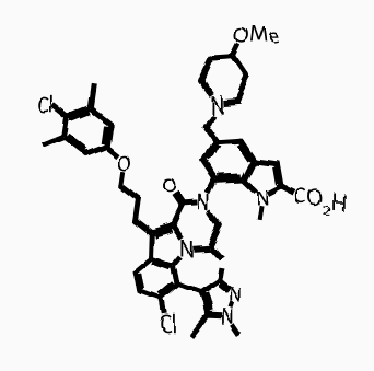 COC1CCN(Cc2cc(N3CC(C)n4c(c(CCCOc5cc(C)c(Cl)c(C)c5)c5ccc(Cl)c(-c6c(C)nn(C)c6C)c54)C3=O)c3c(c2)cc(C(=O)O)n3C)CC1